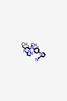 CCc1cc(N(C)c2ccc(-n3cccc3C#N)cc2)n2nccc2n1